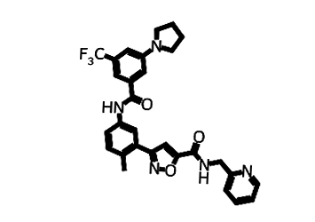 Cc1ccc(NC(=O)c2cc(N3CCCC3)cc(C(F)(F)F)c2)cc1-c1cc(C(=O)NCc2ccccn2)on1